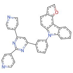 c1cc(-c2cc(-c3ccncc3)nc(-c3ccncc3)n2)cc(-n2c3ccccc3c3c4occc4ccc32)c1